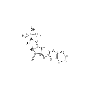 CC(C)(O)C(=O)/C=c1\[nH]c(=O)/c(=C/c2ccc3c(c2)CCCO3)s1